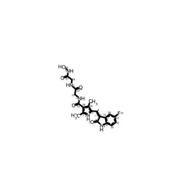 Cc1[nH]c(/C=C2\C(=O)Nc3ccc(F)cc32)c(C)c1C(=O)NCC(=O)NCC(=O)NO